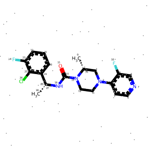 C[C@@H]1CN(c2ccncc2F)CCN1C(=O)N[C@H](C)c1cccc(F)c1Cl